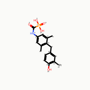 Cc1cc(NC(=O)P(=O)(O)O)cc(C)c1Cc1ccc(O)c(C(C)C)c1